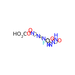 Cn1nc(N2CCC(=O)NC2=O)c2ccc(N3CC4(C3)CN(C3CCN(C(=O)OCC(=O)O)CC3)C4)c(F)c21